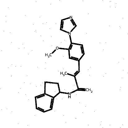 C=C(NC1CCc2ccccc21)/C(C)=C/c1ccc(-n2ccnc2)c(OC)c1